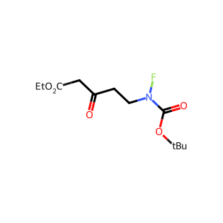 CCOC(=O)CC(=O)CCN(F)C(=O)OC(C)(C)C